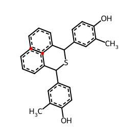 Cc1cc(C(SC(c2ccccc2)c2ccc(O)c(C)c2)c2ccccc2)ccc1O